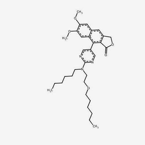 CCCCCCOCCN(CCCCCC)c1ncc(-c2c3c(cc4cc(OC)c(OC)cc24)COC3=O)cn1